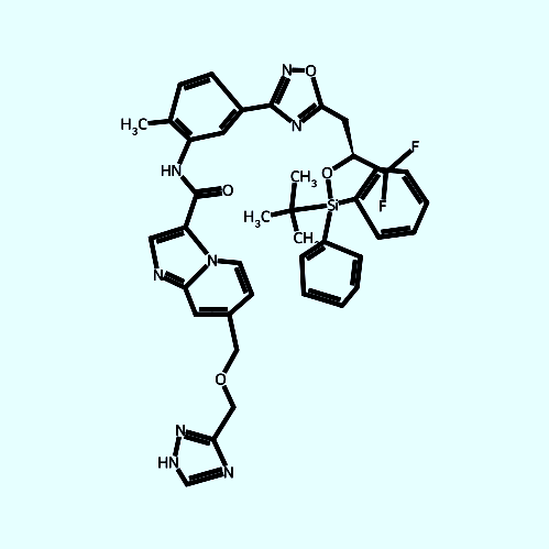 Cc1ccc(-c2noc(C[C@H](O[Si](c3ccccc3)(c3ccccc3)C(C)(C)C)C(F)F)n2)cc1NC(=O)c1cnc2cc(COCc3nc[nH]n3)ccn12